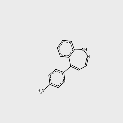 Nc1ccc(C2=CC=NNc3ccccc32)cc1